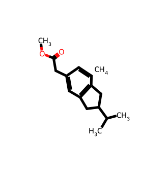 C.COC(=O)Cc1ccc2c(c1)CC(C(C)C)C2